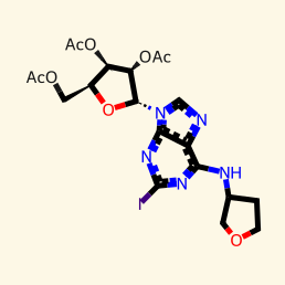 CC(=O)OC[C@@H]1O[C@@H](n2cnc3c(NC4CCOC4)nc(I)nc32)[C@H](OC(C)=O)[C@@H]1OC(C)=O